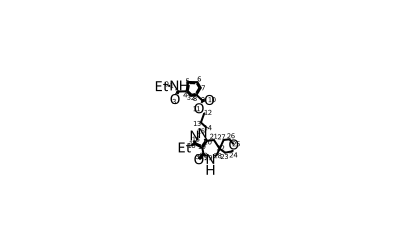 CCNC(=O)c1cccc(C(=O)OCCCn2nc(CC)c3c2CC2(CCOCC2)CNC3=O)c1